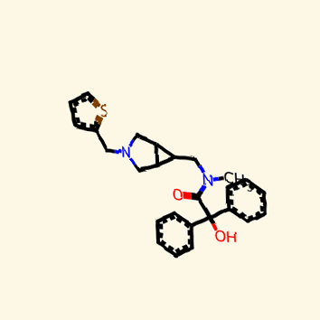 CN(CC1C2CN(Cc3cccs3)CC21)C(=O)C(O)(c1ccccc1)c1ccccc1